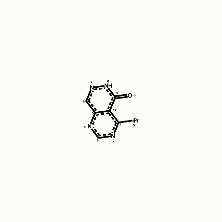 CC(C)c1ncnc2cn[nH]c(=O)c12